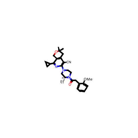 CC[C@@H]1CN(c2nc(C3CC3)c3c(c2C#N)CC(C)(C)OC3)CCN1C(=O)Cc1ccccc1OC